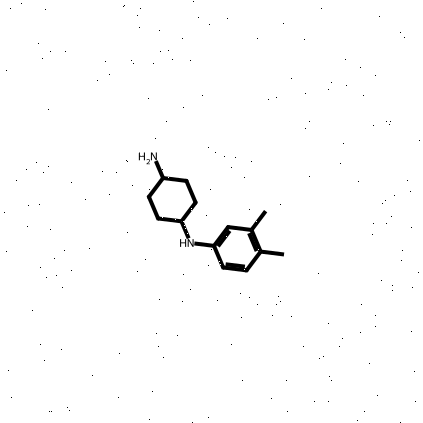 Cc1ccc(NC2CCC(N)CC2)cc1C